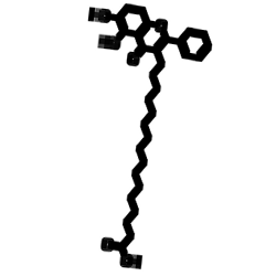 O=C(O)CCCCCCCCCCCCCCCc1c(-c2ccccc2)oc2ccc(O)c(O)c2c1=O